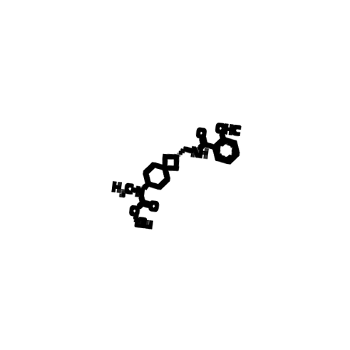 CN(C(=O)OC(C)(C)C)[C@H]1CCC2(CC1)C[C@@H](CNC(=O)c1ccccc1C=O)C2